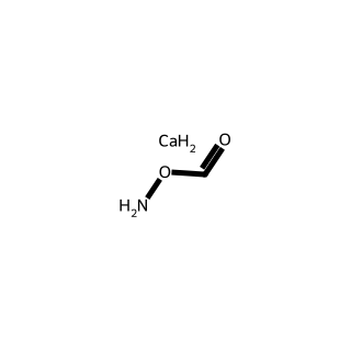 NOC=O.[CaH2]